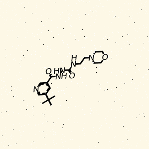 CC(C)(C)c1cncc(C(=O)NNC(=O)NCCN2CCOCC2)c1